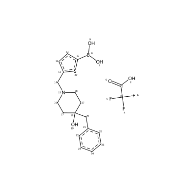 O=C(O)C(F)(F)F.OB(O)c1ccc(CN2CCC(O)(Cc3ccccc3)CC2)s1